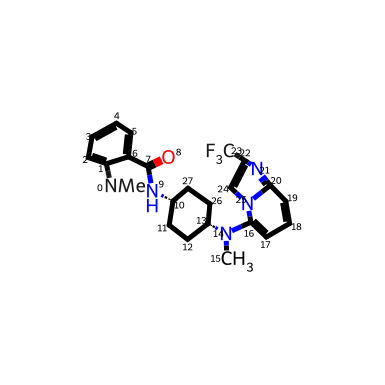 CNc1ccccc1C(=O)N[C@H]1CC[C@@H](N(C)c2cccc3nc(C(F)(F)F)cn23)CC1